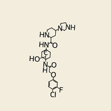 O=C(COc1ccc(Cl)c(F)c1)NC12CCC(NC(=O)C3CC(N4CCNC4)CCN3)(CC1)CC2O